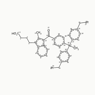 Cc1c(CCCC(=O)O)c2ccccn2c1C(=O)c1ccc([N+](C)(c2ccc(CC(C)C)cc2)c2ccc(CC(C)C)cc2)cc1